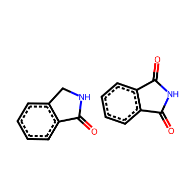 O=C1NC(=O)c2ccccc21.O=C1NCc2ccccc21